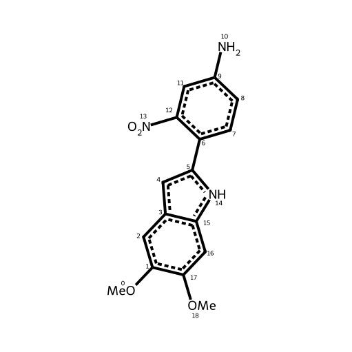 COc1cc2cc(-c3ccc(N)cc3[N+](=O)[O-])[nH]c2cc1OC